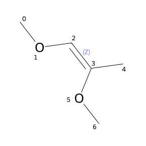 CO/C=C(/C)OC